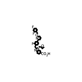 O=C(O)c1ccc2nc(Cc3ccc(-c4cccc(OCc5ccc(F)cc5F)n4)cc3F)n(CC3CCO3)c2c1